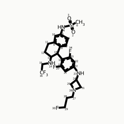 CS(=O)(=O)Nc1ccc2c(c1)CCC(NCC(F)(F)F)C2c1c(F)cc(NC2CN(CCCF)C2)cc1F